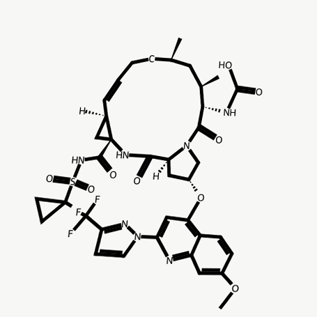 COc1ccc2c(O[C@@H]3C[C@H]4C(=O)N[C@]5(C(=O)NS(=O)(=O)C6(C)CC6)C[C@H]5C=CCC[C@@H](C)C[C@@H](C)[C@H](NC(=O)O)C(=O)N4C3)cc(-n3ccc(C(F)(F)F)n3)nc2c1